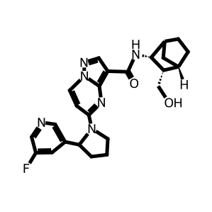 O=C(N[C@@H]1C2CC[C@@H](C2)[C@@H]1CO)c1cnn2ccc(N3CCCC3c3cncc(F)c3)nc12